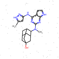 Cc1cc(Nc2nc(N(C)C3C4CC5CC3CC(O)(C5)C4)nc3[nH]ccc23)n[nH]1